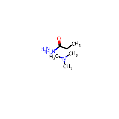 CCC(N)=O.CN(C)C.N